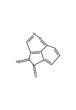 B=c1c(=O)c2cccc3nncc1c32